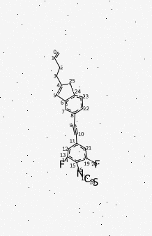 C=CCCC1=Cc2cc(C#Cc3cc(F)c(N=C=S)c(F)c3)ccc2C1